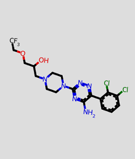 Nc1nc(N2CCN(CC(O)COCC(F)(F)F)CC2)nnc1-c1cccc(Cl)c1Cl